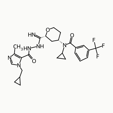 Cc1ncn(CC2CC2)c1C(=O)NNC(=N)[C@H]1C[C@@H](N(C(=O)c2cccc(C(F)(F)F)c2)C2CC2)CCO1